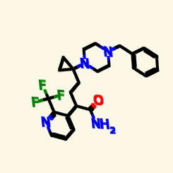 NC(=O)C(CCC1(N2CCN(Cc3ccccc3)CC2)CC1)c1cccnc1C(F)(F)F